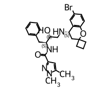 Cc1cc(C(=O)N[C@@H](Cc2ccccc2)[C@H](O)CN[C@H]2CC3(CCC3)Oc3ccc(Br)cc32)nn1C